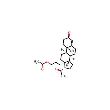 CC(=O)OCCC[C@]12CC[C@@H]3[C@@H](CCC4=CC(=O)CC[C@]43C)[C@@H]1CC[C@@H]2C(C)=O